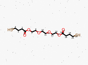 O=C(CCCS)OCCOCCOCCOC(=O)CCCS